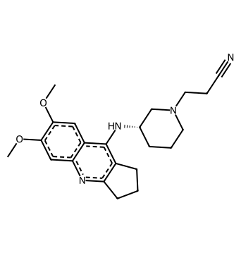 COc1cc2nc3c(c(N[C@H]4CCCN(CCC#N)C4)c2cc1OC)CCC3